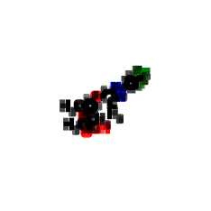 Cc1cc(OCCc2nn(-c3ccc(C(F)(F)F)cc3)nc2C)ccc1OC(C)(C)C(=O)O